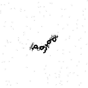 CCCCc1nc(-c2ccc(OC3CCCC(NC)C3)cc2)cn1-c1ccc(Oc2ccc(F)c(C(F)(F)F)c2)cc1